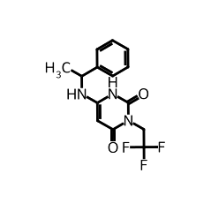 CC(Nc1cc(=O)n(CC(F)(F)F)c(=O)[nH]1)c1ccccc1